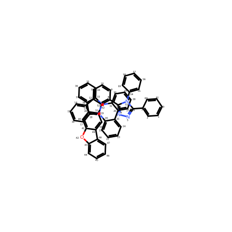 c1ccc(-c2nnc(-c3cccc4c5ccccc5n(-c5ccccc5-c5ccccc5-n5c6ccccc6c6cc7oc8ccccc8c7cc65)c34)n2-c2ccccc2)cc1